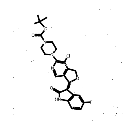 CC(C)(C)OC(=O)N1CCN(c2ncc3c(c2Cl)COC3=C2C(=O)Nc3ccc(F)cc32)CC1